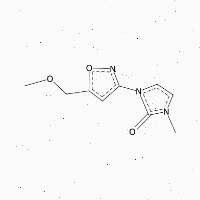 COCc1cc(-n2ccn(C)c2=O)no1